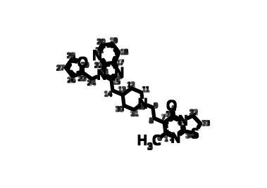 Cc1nc2n(c(=O)c1CCN1CCC(Cc3nc4cccnc4n3Cc3ccco3)CC1)CCS2